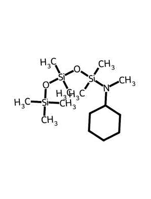 CN(C1CCCCC1)[Si](C)(C)O[Si](C)(C)O[Si](C)(C)C